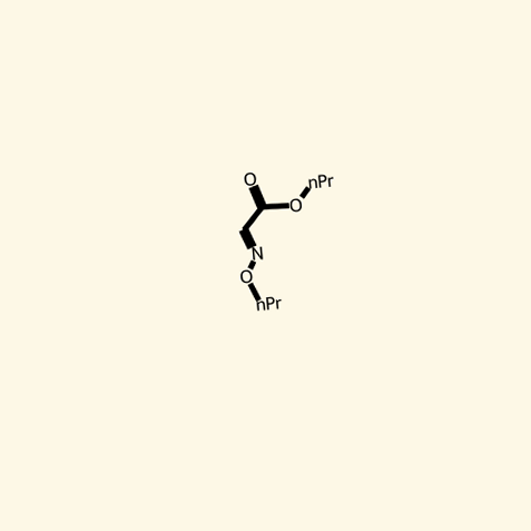 CCCON=CC(=O)OCCC